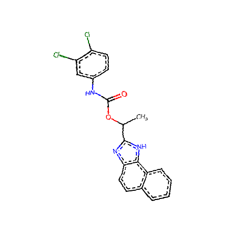 CC(OC(=O)Nc1ccc(Cl)c(Cl)c1)c1nc2ccc3ccccc3c2[nH]1